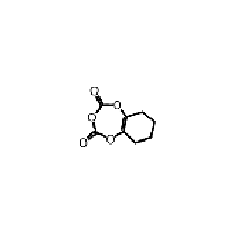 O=C1OC(=O)OC2=C(CCCC2)O1